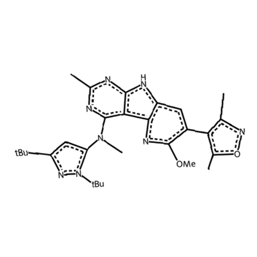 COc1nc2c(cc1-c1c(C)noc1C)[nH]c1nc(C)nc(N(C)c3cc(C(C)(C)C)nn3C(C)(C)C)c12